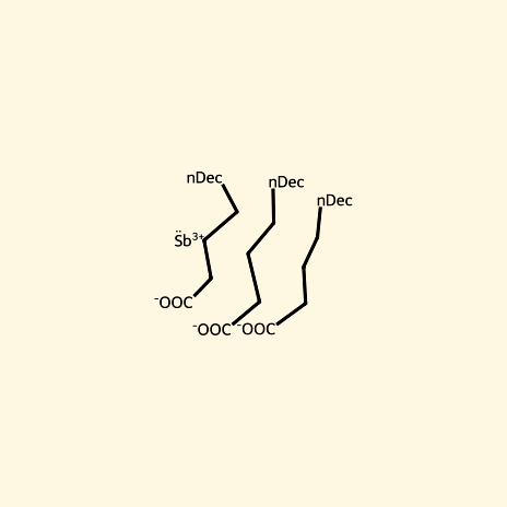 CCCCCCCCCCCCCC(=O)[O-].CCCCCCCCCCCCCC(=O)[O-].CCCCCCCCCCCCCC(=O)[O-].[Sb+3]